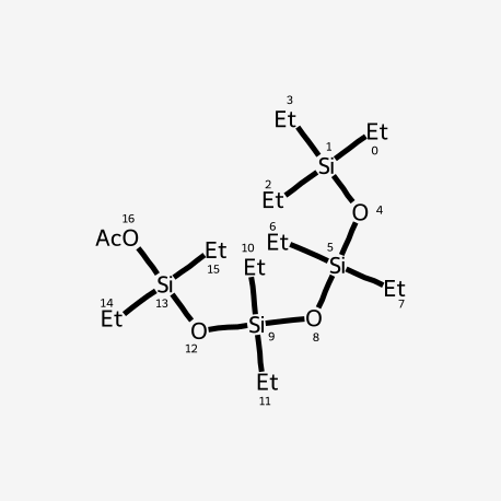 CC[Si](CC)(CC)O[Si](CC)(CC)O[Si](CC)(CC)O[Si](CC)(CC)OC(C)=O